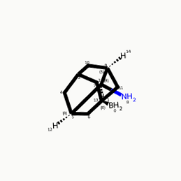 B[C@]12CC3C[C@H](C1)[C@H](N)[C@@H](C3)C2